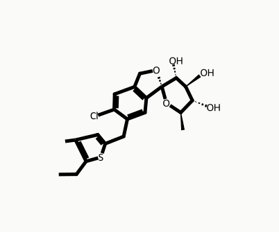 CCc1sc(Cc2cc3c(cc2Cl)CO[C@]32O[C@H](C)[C@@H](O)[C@H](O)[C@H]2O)cc1C